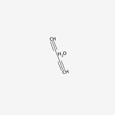 C#CC#C.O